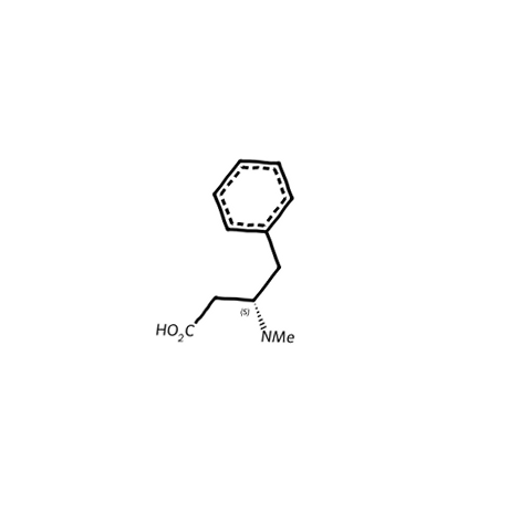 CN[C@H](CC(=O)O)Cc1ccccc1